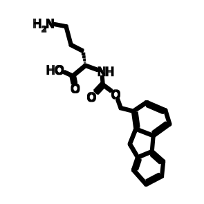 NCCC[C@H](NC(=O)OCc1cccc2c1Cc1ccccc1-2)C(=O)O